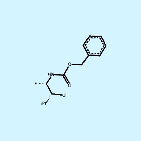 CC(C)[C@@H](O)[C@H](C)NC(=O)OCc1ccccc1